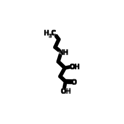 CCCNCC(O)CC(=O)O